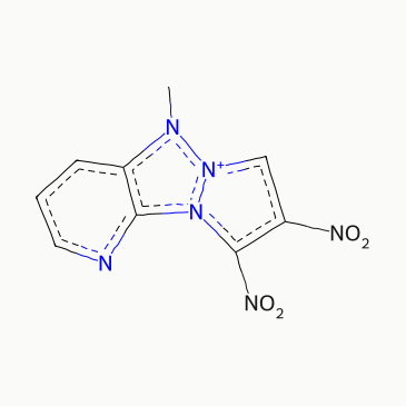 Cn1c2cccnc2n2c([N+](=O)[O-])c([N+](=O)[O-])c[n+]12